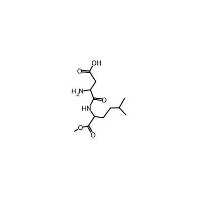 COC(=O)C(CCC(C)C)NC(=O)C(N)CC(=O)O